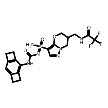 NS(=O)(=NC(=O)Nc1c2c(cc3c1CC3)CC2)c1cnn2c1OCC(CNC(=O)C(F)(F)F)C2